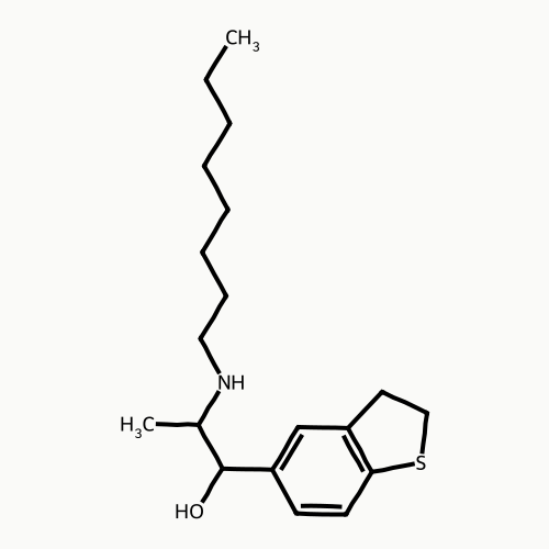 CCCCCCCCNC(C)C(O)c1ccc2c(c1)CCS2